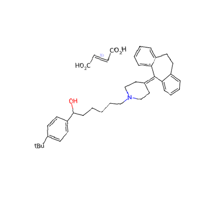 CC(C)(C)c1ccc(C(O)CCCCCN2CCC(=C3c4ccccc4CCc4ccccc43)CC2)cc1.O=C(O)/C=C/C(=O)O